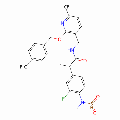 CC(C(=O)NCc1ccc(C(F)(F)F)nc1OCc1ccc(C(F)(F)F)cc1)c1ccc(N(C)[SH](=O)=O)c(F)c1